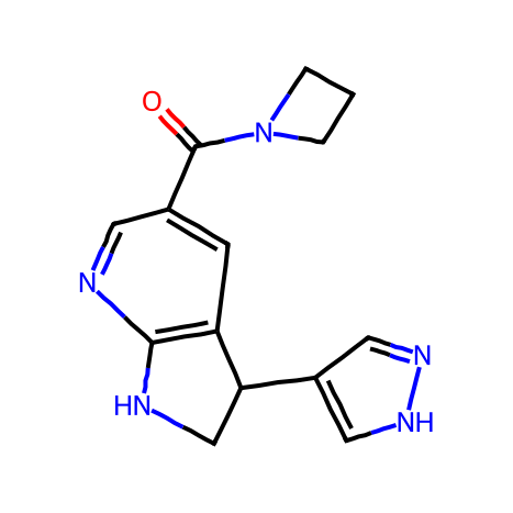 O=C(c1cnc2c(c1)C(c1cn[nH]c1)CN2)N1CCC1